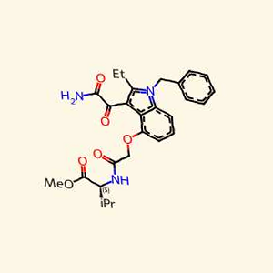 CCc1c(C(=O)C(N)=O)c2c(OCC(=O)N[C@H](C(=O)OC)C(C)C)cccc2n1Cc1ccccc1